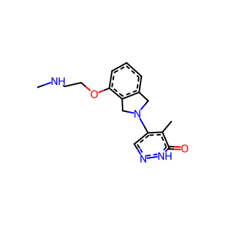 CNCCOc1cccc2c1CN(c1cn[nH]c(=O)c1C)C2